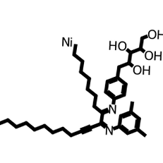 CCCCCCCCCC#CC(=Nc1cc(C)cc(C)c1)C(CCCCCCCC)=Nc1ccc(CC(O)C(O)C(O)CO)cc1.[Ni]